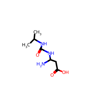 CC(C)NC(=O)NC(N)CC(=O)O